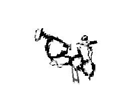 CS(=O)(=O)Oc1c(-c2ncc(Cl)cc2Cl)c(=O)[nH]c2nccnc12